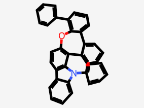 c1ccc(-c2cccc3c2Oc2ccc4c5ccccc5n(-c5ccccc5)c4c2-c2ccccc2-3)cc1